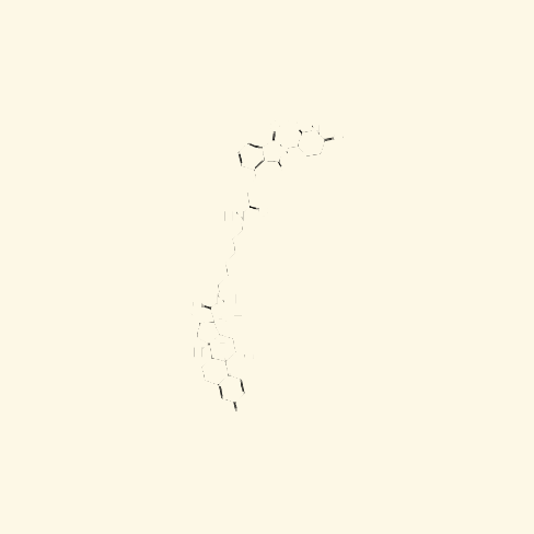 C[C@@H]1C[C@H]2[C@@H]3CCC4=CC(=O)C=C[C@]4(C)[C@@]3(F)[C@@H](O)C[C@]2(C)[C@@]1(O)C(=O)NCCCCCCNC(=O)COc1cccc2c1C(=O)N(C1CCC(=O)NC1=O)C2=O